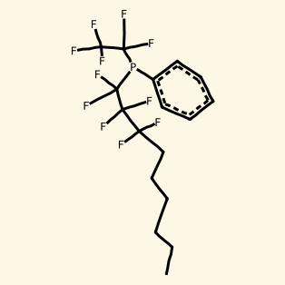 CCCCCCC(F)(F)C(F)(F)C(F)(F)P(c1ccccc1)C(F)(F)C(F)(F)F